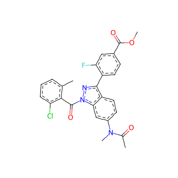 COC(=O)c1ccc(-c2nn(C(=O)c3c(C)cccc3Cl)c3cc(N(C)C(C)=O)ccc23)c(F)c1